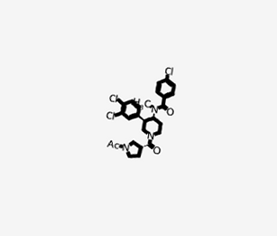 CC(=O)N1CC[C@@H](C(=O)N2CC[C@@H](N(C)C(=O)c3ccc(Cl)cc3)[C@H](c3ccc(Cl)c(Cl)c3)C2)C1